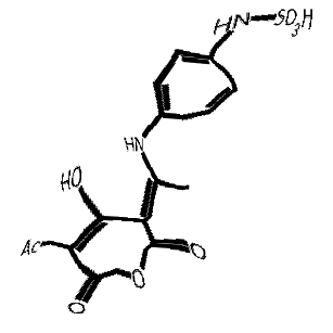 CC(=O)C1=C(O)C(=C(C)Nc2ccc(NS(=O)(=O)O)cc2)C(=O)OC1=O